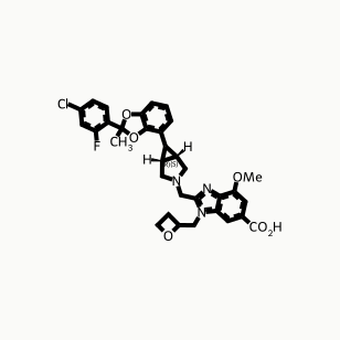 COc1cc(C(=O)O)cc2c1nc(CN1C[C@@H]3C(c4cccc5c4OC(C)(c4ccc(Cl)cc4F)O5)[C@@H]3C1)n2CC1CCO1